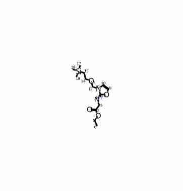 CCOC(=O)C/N=c1\occn1COCC[Si](C)(C)C